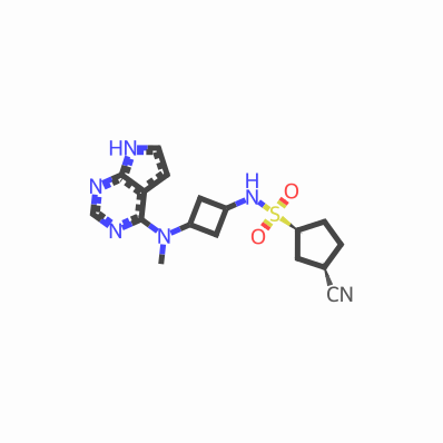 CN(c1ncnc2[nH]ccc12)C1CC(NS(=O)(=O)[C@H]2CC[C@@H](C#N)C2)C1